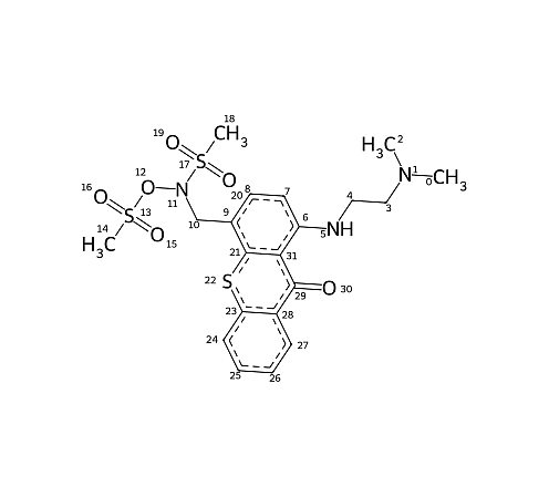 CN(C)CCNc1ccc(CN(OS(C)(=O)=O)S(C)(=O)=O)c2sc3ccccc3c(=O)c12